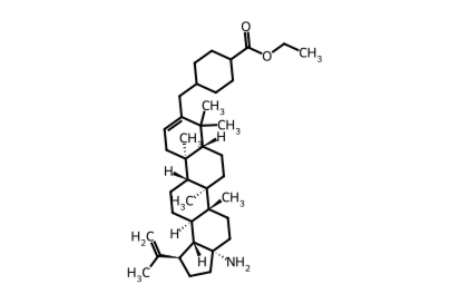 C=C(C)[C@@H]1CC[C@]2(N)CC[C@]3(C)[C@H](CC[C@@H]4[C@@]5(C)CC=C(CC6CCC(C(=O)OCC)CC6)C(C)(C)[C@@H]5CC[C@]43C)[C@@H]12